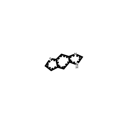 c1nc2cc3sccc3cc2[nH]1